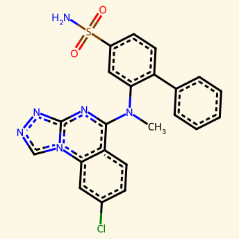 CN(c1cc(S(N)(=O)=O)ccc1-c1ccccc1)c1nc2nncn2c2cc(Cl)ccc12